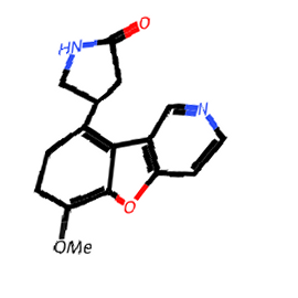 COC1=c2oc3ccncc3c2=C(C2CNC(=O)C2)CC1